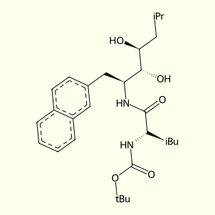 CC[C@H](C)[C@H](NC(=O)OC(C)(C)C)C(=O)N[C@@H](Cc1ccc2ccccc2c1)[C@@H](O)[C@@H](O)CC(C)C